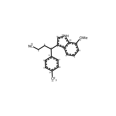 COc1cccc2c(C(CCC#N)c3ccc(C(F)(F)F)cc3)c[nH]c12